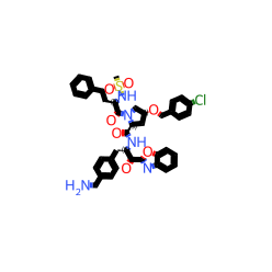 CS(=O)(=O)N[C@H](CCc1ccccc1)C(=O)N1C[C@H](OCc2ccc(Cl)cc2)C[C@H]1C(=O)N[C@@H](Cc1ccc(CN)cc1)C(=O)c1nc2ccccc2o1